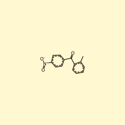 Cc1ccccc1C(=O)c1ccc([N+](=O)[O-])cc1